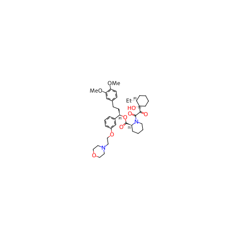 CC[C@@H]1CCCC[C@@]1(O)C(=O)C(=O)N1CCCC[C@H]1C(=O)O[C@H](CCc1ccc(OC)c(OC)c1)c1cccc(OCCN2CCOCC2)c1